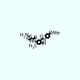 COc1ccc(NC(=O)c2cc(NC(=O)c3cnc(N)s3)c(C)cc2F)cc1